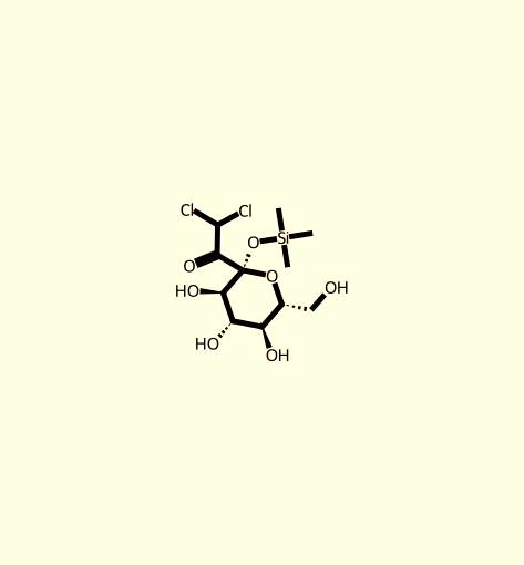 C[Si](C)(C)O[C@]1(C(=O)C(Cl)Cl)O[C@H](CO)[C@@H](O)[C@H](O)[C@H]1O